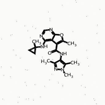 Cc1nn(C)c(C)c1NC(=O)c1c(C)oc2ncnc(NC3(C)CC3)c12